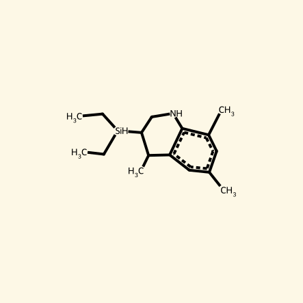 CC[SiH](CC)C1CNc2c(C)cc(C)cc2C1C